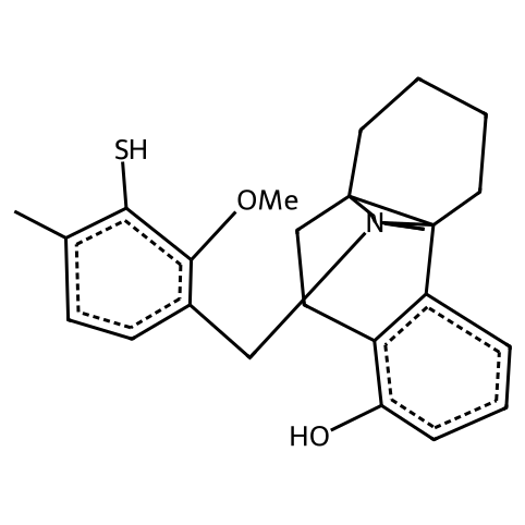 COc1c(CN2CCC34CCCCC3(CCc3c(O)cccc34)C2)ccc(C)c1S